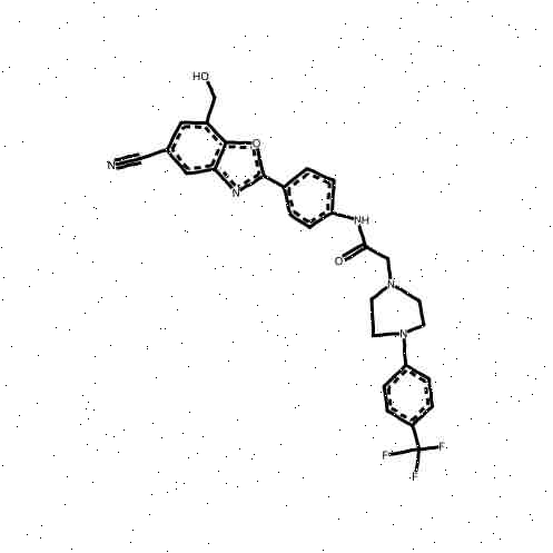 N#Cc1cc(CO)c2oc(-c3ccc(NC(=O)CN4CCN(c5ccc(C(F)(F)F)cc5)CC4)cc3)nc2c1